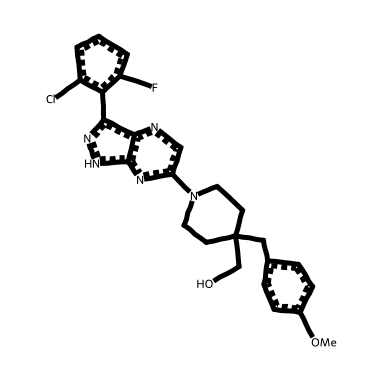 COc1ccc(CC2(CO)CCN(c3cnc4c(-c5c(F)cccc5Cl)n[nH]c4n3)CC2)cc1